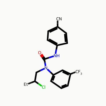 CCC(Cl)CN(C(=O)Nc1ccc(C#N)cc1)c1cccc(C(F)(F)F)c1